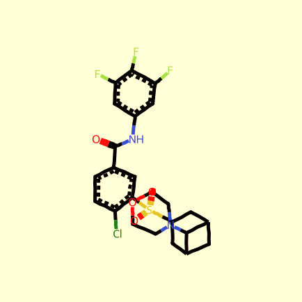 O=C(Nc1cc(F)c(F)c(F)c1)c1ccc(Cl)c(S(=O)(=O)C2CC3CC(C2)C3N2CCOCC2)c1